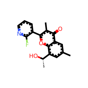 Cc1cc([C@H](C)O)c2oc(-c3cccnc3F)c(C)c(=O)c2c1